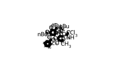 CCCCOCC1O[C@@H](OC2[C@H](OC(C)=O)C(C)O[C@@H](OC(=N)C(Cl)(Cl)Cl)[C@H]2N=[N+]=[N-])[C@@H](OC(=O)c2ccccc2)C(OCCCC)[C@@H]1OCCCC